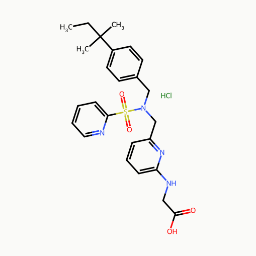 CCC(C)(C)c1ccc(CN(Cc2cccc(NCC(=O)O)n2)S(=O)(=O)c2ccccn2)cc1.Cl